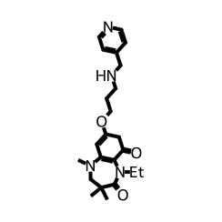 CCN1C(=O)C(C)(C)CN(C)C2=C1C(=O)CC(OCCCNCc1ccncc1)=C2